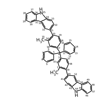 Cc1cc(C(c2ccccc2)(c2ccccc2)c2ccc(-c3ccc4[nH]c5ccccc5c4c3)c(C)c2)ccc1-c1ccc2[nH]c3ccccc3c2c1